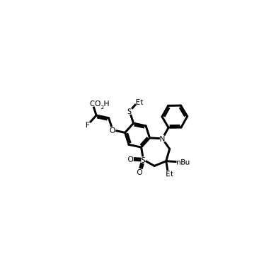 CCCCC1(CC)CN(c2ccccc2)c2cc(SCC)c(O/C=C(\F)C(=O)O)cc2S(=O)(=O)C1